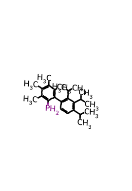 Cc1c(C)c(C)c(-c2ccc(C(C)C)c(C(C)C)c2C(C)C)c(P)c1C